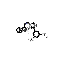 NC1C2CC1N(C(=O)/C=C\n1cnc(-c3cc(C(F)(F)F)cc(C(F)(F)F)c3)n1)C2